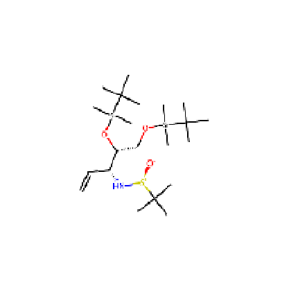 C=C[C@@H](N[S@@+]([O-])C(C)(C)C)[C@@H](CO[Si](C)(C)C(C)(C)C)O[Si](C)(C)C(C)(C)C